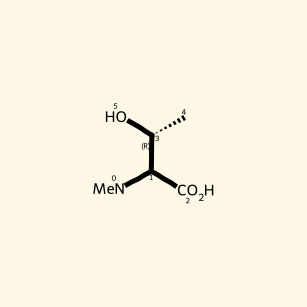 CNC(C(=O)O)[C@@H](C)O